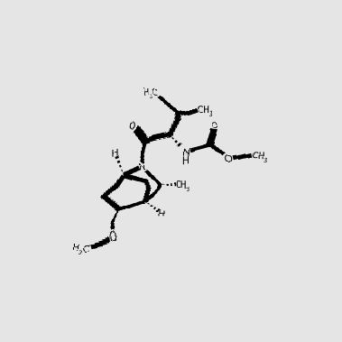 COC(=O)N[C@H](C(=O)N1[C@H]2C[C@H]([C@@H](OC)C2)[C@H]1C)C(C)C